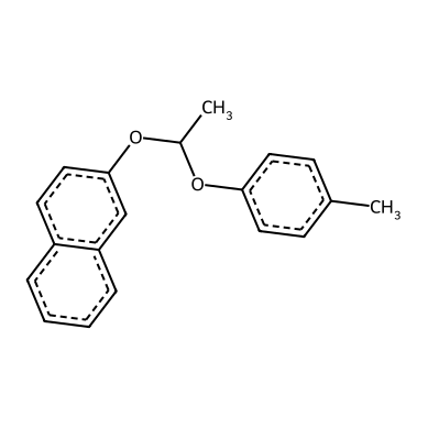 Cc1ccc(OC(C)Oc2ccc3ccccc3c2)cc1